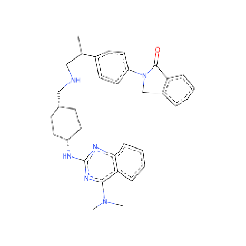 CC(CNC[C@H]1CC[C@@H](Nc2nc(N(C)C)c3ccccc3n2)CC1)c1ccc(N2Cc3ccccc3C2=O)cc1